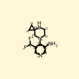 Nc1cncc(C(F)F)c1N1CCNC2(CC2)C1